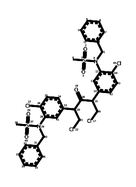 CS(=O)(=O)N(Cc1ccccc1)c1cc(C(CCl)C(=O)C(CCl)c2ccc(Cl)c(N(Cc3ccccc3)S(C)(=O)=O)c2)ccc1Cl